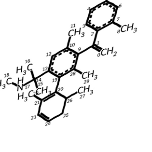 C=C(c1ccccc1C)c1c(C)cc(C(C)(C)NC)c(C2=C(C)C=CCC2C)c1C